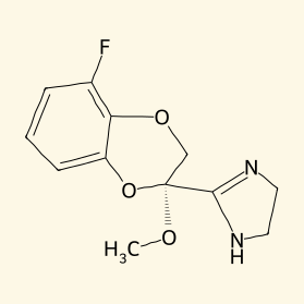 CO[C@@]1(C2=NCCN2)COc2c(F)cccc2O1